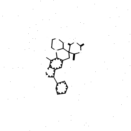 C[C@H]1CN2c3c(cc4c(-c5ccccc5)noc4c3F)CC3(C(=O)NC(=O)NC3=O)[C@@H]2[C@@H](C)O1